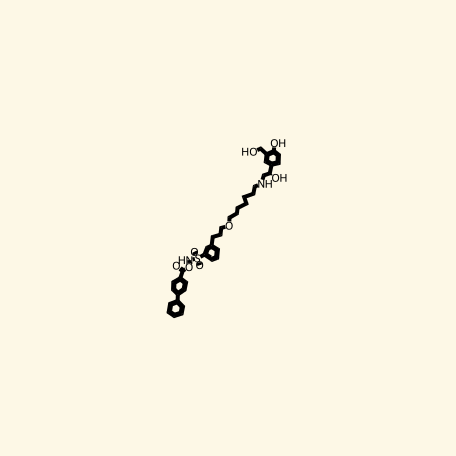 O=C(ONS(=O)(=O)c1cccc(CCCOCCCCCCCNC[C@@H](O)c2ccc(O)c(CO)c2)c1)c1ccc(-c2ccccc2)cc1